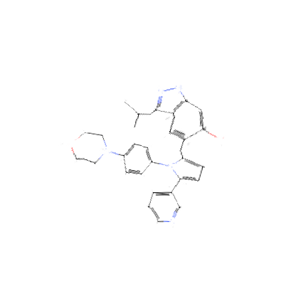 CC(C)c1n[nH]c2cc(O)c(-c3ccc(-c4cccnc4)n3-c3ccc(N4CCOCC4)cc3)cc12